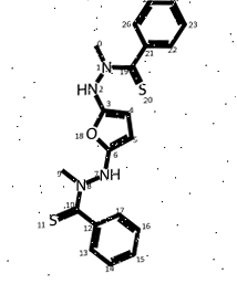 CN(Nc1ccc(NN(C)C(=S)c2ccccc2)o1)C(=S)c1ccccc1